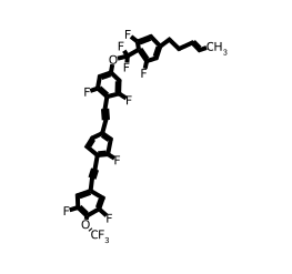 C/C=C/CCc1cc(F)c(C(F)(F)Oc2cc(F)c(C#Cc3ccc(C#Cc4cc(F)c(OC(F)(F)F)c(F)c4)c(F)c3)c(F)c2)c(F)c1